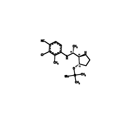 Cc1c(N[C@H](C)[C@H]2NCC[C@@H]2O[Si](C)(C)C(C)(C)C)ccc(C#N)c1Cl